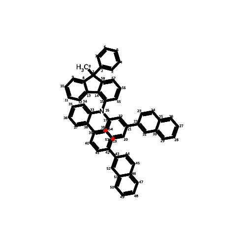 CC1(c2ccccc2)c2ccccc2-c2c(N(c3cccc(-c4ccc5ccccc5c4)c3)c3ccccc3-c3ccc(-c4ccc5ccccc5c4)cc3)cccc21